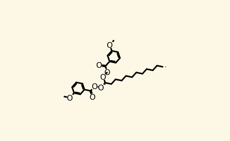 [CH2]CCCCCCCCCC[C](OOC(=O)c1cccc(OC)c1)OOC(=O)c1cccc(OC)c1